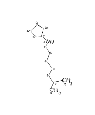 CC(C)CCCCCNC1CCCC1